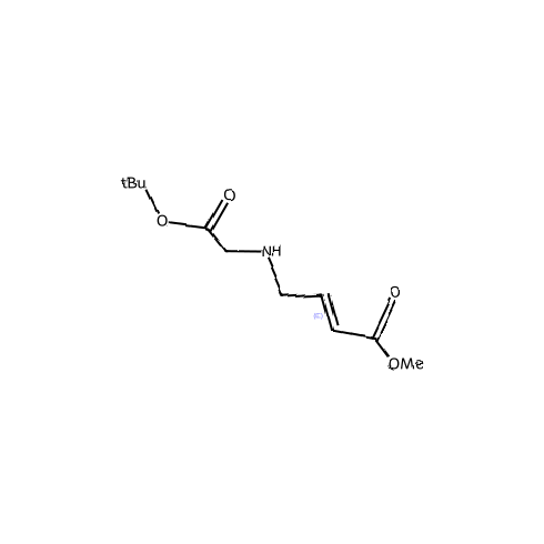 COC(=O)/C=C/CNCC(=O)OC(C)(C)C